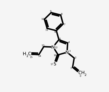 C=CCn1cc(-c2ccccc2)n(CC=C)c1=S